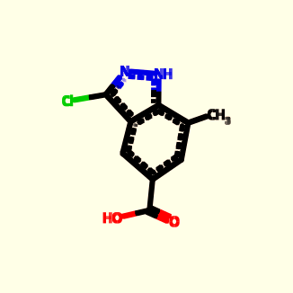 Cc1cc(C(=O)O)cc2c(Cl)n[nH]c12